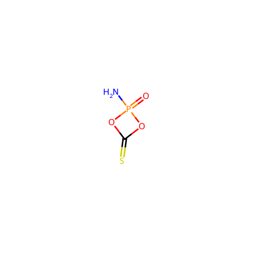 NP1(=O)OC(=S)O1